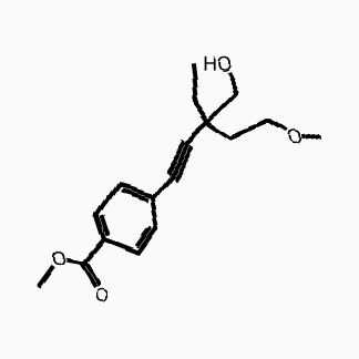 CCC(C#Cc1ccc(C(=O)OC)cc1)(CO)CCOC